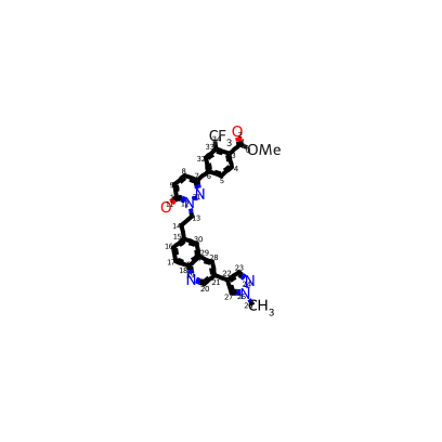 COC(=O)c1ccc(-c2ccc(=O)n(CCc3ccc4ncc(-c5cnn(C)c5)cc4c3)n2)cc1C(F)(F)F